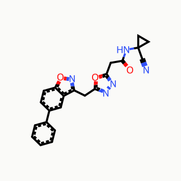 N#CC1(NC(=O)Cc2nnc(Cc3noc4ccc(-c5ccccc5)cc34)o2)CC1